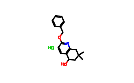 CC1(C)Cc2nc(OCc3ccccc3)ccc2C(O)C1.Cl